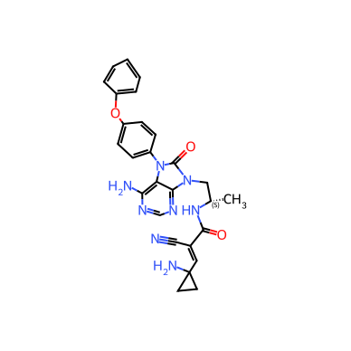 C[C@@H](Cn1c(=O)n(-c2ccc(Oc3ccccc3)cc2)c2c(N)ncnc21)NC(=O)C(C#N)=CC1(N)CC1